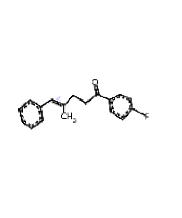 C/C(=C\c1ccccc1)C[CH]C(=O)c1ccc(F)cc1